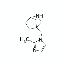 Cc1nccn1CC12CCC(C1)NC2